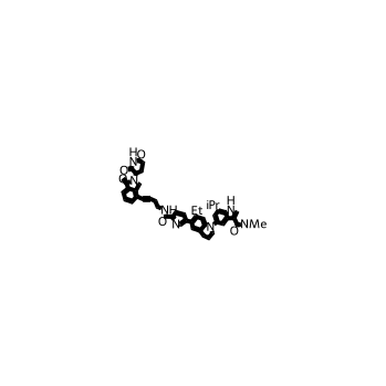 CCc1cc2c(cc1-c1ccc(C(=O)NCCC#Cc3cccc4c3CN(C3CCC(=O)NC3=O)C4=O)nc1)CCCN2c1cc(C(C)C)c2[nH]cc(C(=O)NC)c2c1